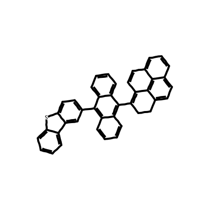 c1cc2ccc3c4c(ccc(c1)c24)=C(c1c2ccccc2c(-c2ccc4sc5ccccc5c4c2)c2ccccc12)CC3